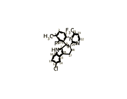 Cc1cccc(C2c3[nH]c4ccc(Cl)cc4c3CCN2c2nccc(C(F)(F)F)n2)c1F